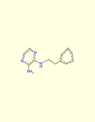 Nc1nccnc1NCCc1ccccc1